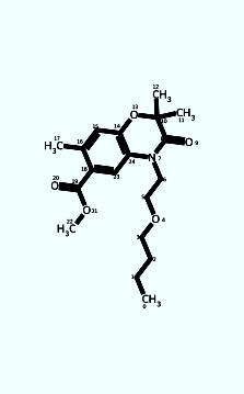 CCCCOCCN1C(=O)C(C)(C)Oc2cc(C)c(C(=O)OC)cc21